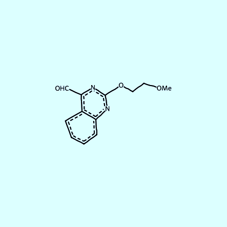 COCCOc1nc(C=O)c2ccccc2n1